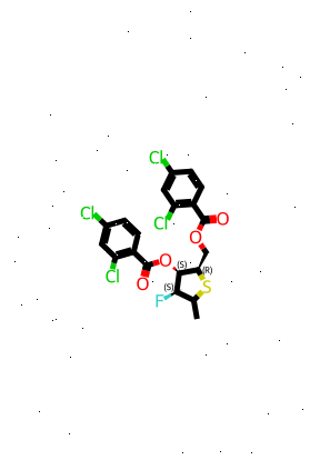 CC1S[C@H](COC(=O)c2ccc(Cl)cc2Cl)[C@@H](OC(=O)c2ccc(Cl)cc2Cl)[C@@H]1F